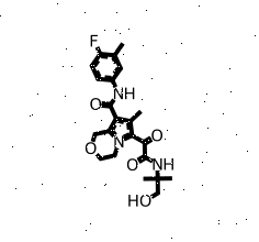 Cc1cc(NC(=O)c2c(C)c(C(=O)C(=O)NC(C)(C)CO)n3c2COCC3)ccc1F